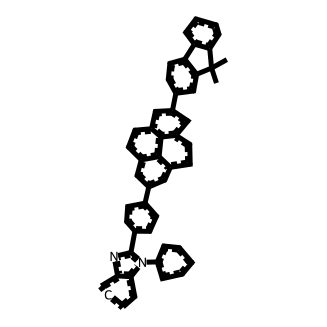 CC1(C)c2ccccc2-c2ccc(-c3cc4ccc5cc(-c6ccc(-c7nc8ccccc8n7-c7ccccc7)cc6)cc6ccc(c3)c4c56)cc21